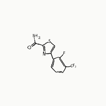 NC(=O)c1nc(-c2cccc(C(F)(F)F)c2F)cs1